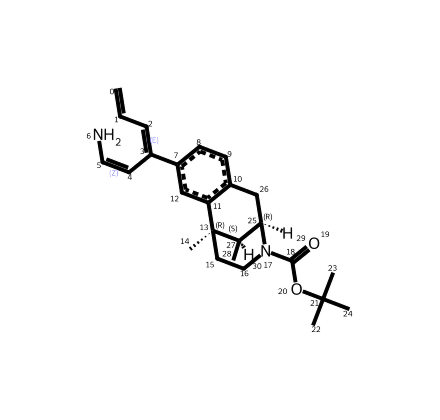 C=C/C=C(\C=C/N)c1ccc2c(c1)[C@]1(C)CCN(C(=O)OC(C)(C)C)[C@H](C2)[C@H]1C